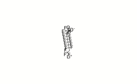 O=S(=O)([O-])C(F)(F)C(F)(F)C(F)(F)C(F)(F)C(F)(F)C(F)(F)C(F)(F)CC(F)(F)F.[Li+]